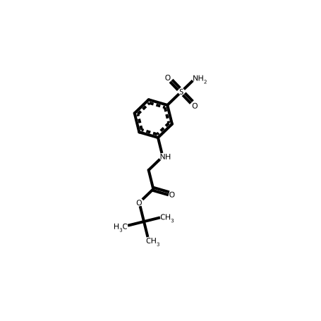 CC(C)(C)OC(=O)CNc1cccc(S(N)(=O)=O)c1